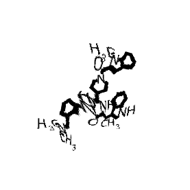 C[C@H](c1c[nH]c2ccccc12)[C@@H](NC(=O)C1CCN(C(=O)c2cc3ccccc3n2C)CC1)C(=O)Nc1cccc(CN(C)C)c1